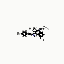 CO/N=C(/C(=O)OC)c1cccc(C)c1CO/N=C(\C)C#Cc1ccc(Br)cc1